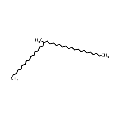 CCCCCCCCCCCCCCCCCC[CH]C(C)CCCCCCCCCCCCCCC